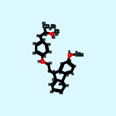 CCCCOc1ccc2c(c1)C(CCOc1ccc(CC(OCC)C(=O)OCC)cc1)c1ccccc1-2